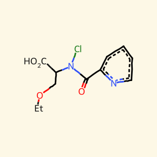 CCOCC(C(=O)O)N(Cl)C(=O)c1ccccn1